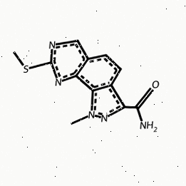 CSc1ncc2ccc3c(C(N)=O)nn(C)c3c2n1